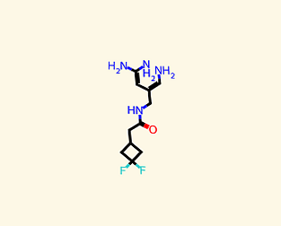 N/C=C(\C=C(N)N)CNC(=O)CC1CC(F)(F)C1